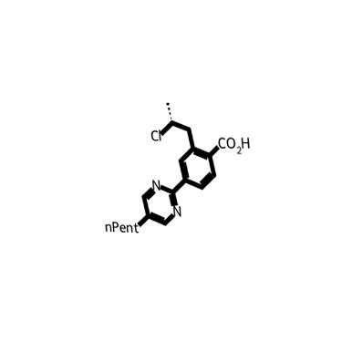 CCCCCc1cnc(-c2ccc(C(=O)O)c(C[C@@H](C)Cl)c2)nc1